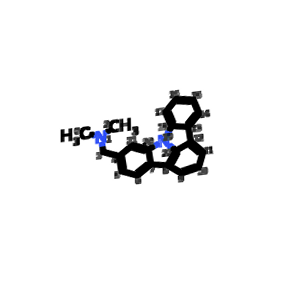 CN(C)Cc1ccc2c3cccc4c5ccccc5n(c2c1)c43